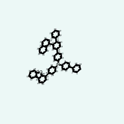 c1ccc(-c2ccc(N(c3ccc(-c4ccc(-c5ccccc5)c(-c5cccc6ccccc56)c4)cc3)c3ccc(-c4cccc5c4oc4ccccc45)cc3)cc2)cc1